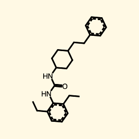 CCc1cccc(CC)c1NC(=O)NC1CCC(CCc2ccccc2)CC1